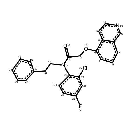 O=C(COc1cccc2cnccc12)N(CCc1ccccc1)c1ccc(F)cc1Cl